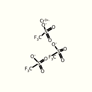 O=S(=O)([O-])C(F)(F)F.O=S(=O)([O-])C(F)(F)F.O=S(=O)([O-])C(F)(F)F.[Cr+3]